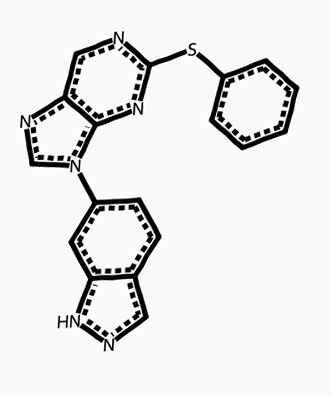 c1ccc(Sc2ncc3ncn(-c4ccc5cn[nH]c5c4)c3n2)cc1